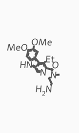 CCc1c(C(=O)N(C)CCN)ncc2[nH]c3cc(OC)c(OC)cc3c12